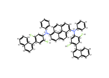 Fc1cc(N(c2ccccc2)c2ccc3ccc4c(N(c5ccccc5)c5cc(F)c(-c6cccc7ccccc67)cc5F)ccc5ccc2c3c54)c(F)cc1-c1cccc2ccccc12